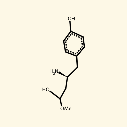 COC(O)C[C@@H](N)Cc1ccc(O)cc1